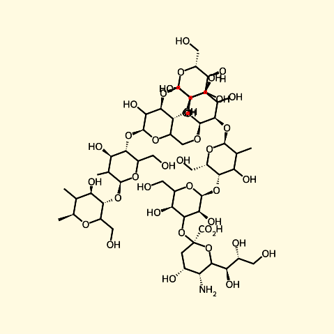 CC1C(O)[C@H](O[C@@H]2OC(CO)[C@H](O)C(O[C@]3(C(=O)O)C[C@@H](O)[C@@H](N)C([C@H](O)[C@H](O)CO)O3)[C@@H]2O)[C@H](CO)O[C@H]1O[C@@H]1C(O)[C@H](O)C(CO)O[C@@H]1OCC1O[C@@H](O[C@@H]2C(CO)O[C@@H](O[C@@H]3C(CO)O[C@@H](C)C(C)[C@H]3O)C(C)[C@H]2O)C(O)[C@@H](O[C@H]2O[C@H](CO)[C@@H](O)C(O)C2O)[C@@H]1O